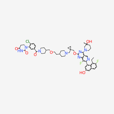 CCc1c(F)ccc2cc(O)cc(-c3ncc4c(N5CCC[C@@](C)(O)C5)nc(OCC5(CN6CCC(CCOCC7CCN(C(=O)c8ccc(Cl)c(N9CCC(=O)NC9=O)c8)CC7)CC6)CC5)nc4c3F)c12